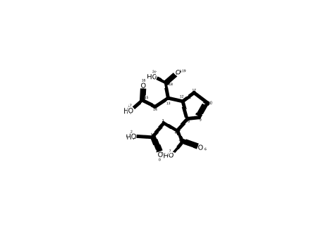 O=C(O)CC(C(=O)O)C1C=CCC1C(CC(=O)O)C(=O)O